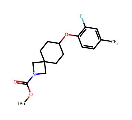 CC(C)(C)OC(=O)N1CC2(CCC(Oc3ccc(C(F)(F)F)cc3F)CC2)C1